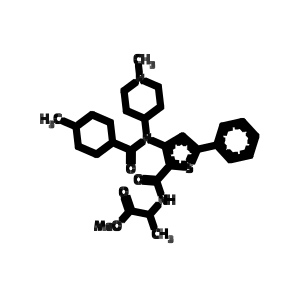 COC(=O)C(C)NC(=O)c1sc(-c2ccccc2)cc1N(C(=O)C1CCC(C)CC1)C1CCN(C)CC1